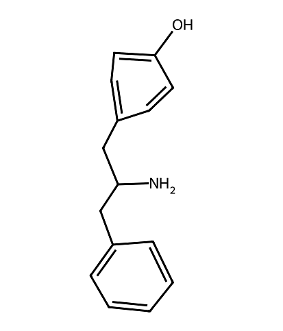 NC(Cc1ccccc1)Cc1ccc(O)cc1